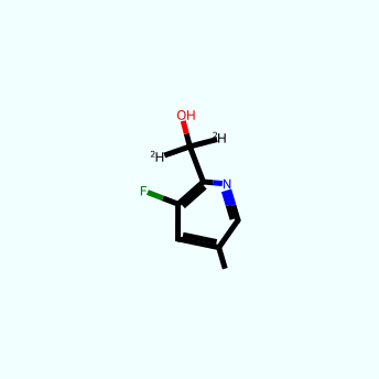 [2H]C([2H])(O)c1ncc(C)cc1F